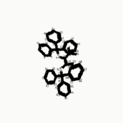 CC(C)C(SC(c1ccccc1)(c1ccccc1)c1ccccc1)C(C)SC(c1ccccc1)(c1ccccc1)c1ccccc1